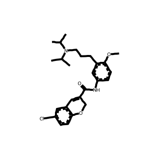 COc1ccc(NC(=O)C2=Cc3cc(Cl)ccc3OC2)cc1CCCN(C(C)C)C(C)C